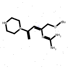 C=C(/C=C(/COC(C)(C)C)N=C(N)N)N1CCNCC1